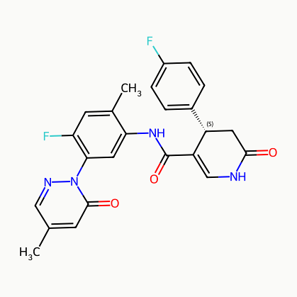 Cc1cnn(-c2cc(NC(=O)C3=CNC(=O)C[C@H]3c3ccc(F)cc3)c(C)cc2F)c(=O)c1